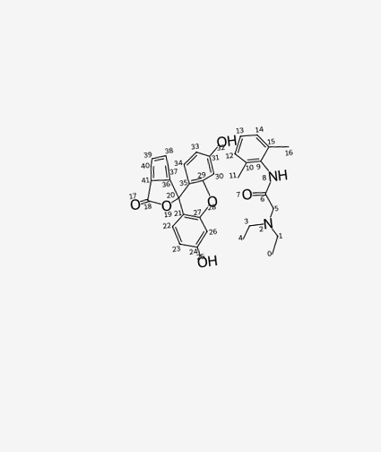 CCN(CC)CC(=O)Nc1c(C)cccc1C.O=C1OC2(c3ccc(O)cc3Oc3cc(O)ccc32)c2ccccc21